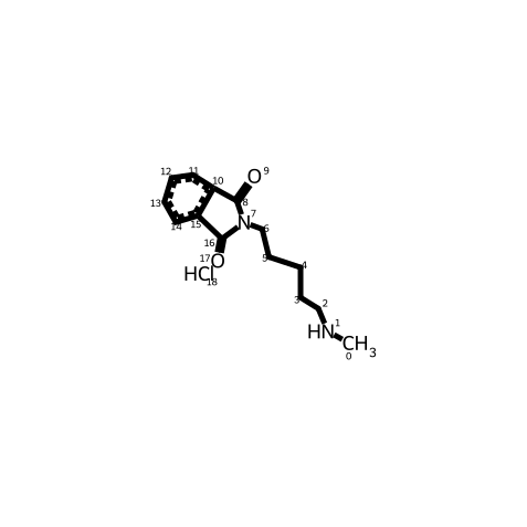 CNCCCCCN1C(=O)c2ccccc2C1=O.Cl